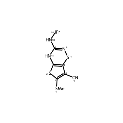 CSc1sc2c(c1C#N)SN=C(NC(C)C)N2